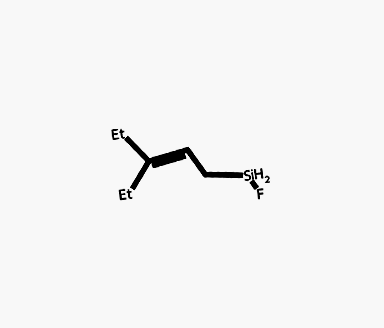 CCC(=CC[SiH2]F)CC